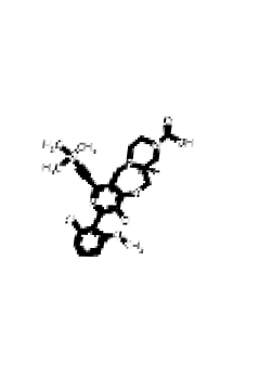 COc1cccc(Cl)c1-c1nc(C#C[Si](C)(C)C)c2c(c1Cl)OC[C@H]1CN(C(=O)O)CCN1C2